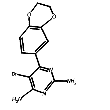 Nc1nc(N)c(Br)c(-c2ccc3c(c2)OCCO3)n1